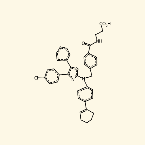 O=C(O)CCNC(=O)c1ccc(CN(c2ccc(C3=CCCCC3)cc2)c2nc(-c3ccc(Cl)cc3)c(-c3ccccc3)s2)cc1